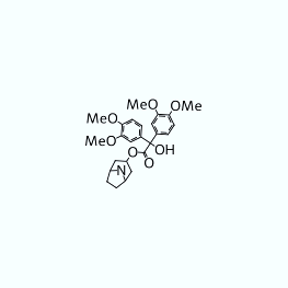 COc1ccc(C(O)(C(=O)OC2CC3CCC(C2)N3C)c2ccc(OC)c(OC)c2)cc1OC